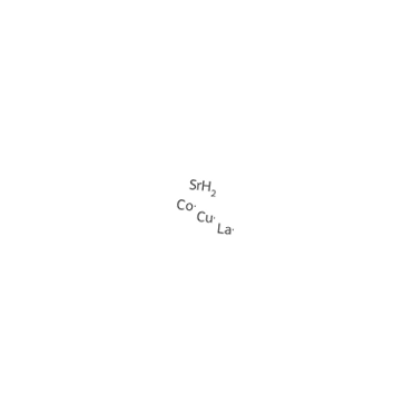 [Co].[Cu].[La].[SrH2]